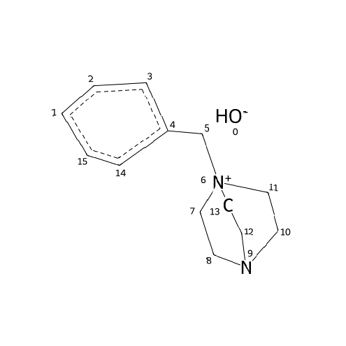 [OH-].c1ccc(C[N+]23CCN(CC2)CC3)cc1